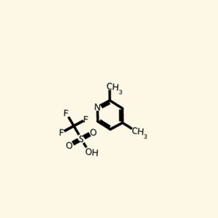 Cc1ccnc(C)c1.O=S(=O)(O)C(F)(F)F